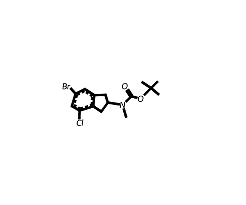 CN(C(=O)OC(C)(C)C)C1Cc2cc(Br)cc(Cl)c2C1